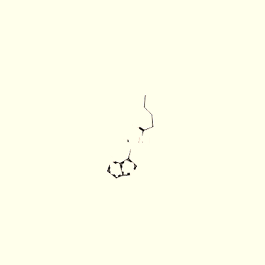 CC[C@H](C)CC(=O)N[S+]([O-])c1csc2ccsc12